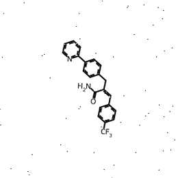 NC(=O)/C(=C\c1ccc(C(F)(F)F)cc1)Cc1ccc(-c2ccccn2)cc1